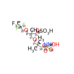 CC(C)(COCC(C)(COCC(F)(F)C(F)(F)F)COS(=O)(=O)O)COS(=O)(=O)NO